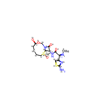 CO/N=C(\C(=O)N[C@@H]1C(=O)N2COC(=O)CCCC[S+]([O-])[C@H]12)c1csc(N)n1